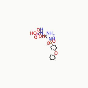 N[C@@H](CNC(=O)P(=O)(O)O)CNS(=O)(=O)c1ccc(Oc2ccccc2)cc1